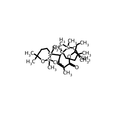 CCC([SiH3])OC(=O)C(C)=CC([Si]1(C)CCC(C)(C)O[Si]1(C)C)[Si]1(C)CCC(C)(C)O[Si]1(C)C